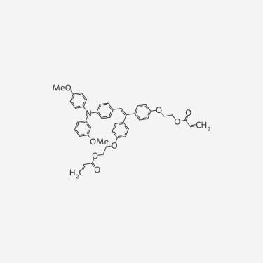 C=CC(=O)OCCOc1ccc(C(=Cc2ccc(N(c3ccc(OC)cc3)c3cccc(OC)c3)cc2)c2ccc(OCCOC(=O)C=C)cc2)cc1